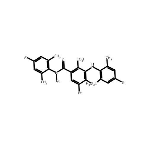 CCc1cc(C(=O)N(C(C)=O)c2c(C)cc(Br)cc2C)c(C(=O)O)c(Nc2c(C)cc(Br)cc2C)c1C